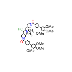 COc1cc(-c2ccc(C(=O)N3CCC(CC(CC4CCN(C(=O)c5ccc(-c6cc(OC)c(OC)c(OC)c6)cc5)CC4)N(C)C)CC3)cc2)cc(OC)c1OC.Cl